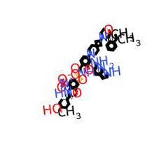 CC(C)c1ccccc1[C@@H]1COCCN1C1CC2(CCN(c3ccc(C(=O)NS(=O)(=O)c4cc5c(c([N+](=O)[O-])c4)N[C@@H]([C@H]4CC[C@](C)(O)CC4)CO5)c(Oc4cc5cc[nH]c5nc4N)c3)CC2)C1